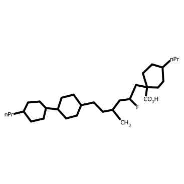 CCCC1CCC(C2CCC(CCC(C)CC(F)CC3(C(=O)O)CCC(CCC)CC3)CC2)CC1